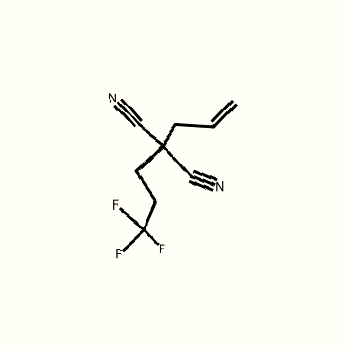 C=CCC(C#N)(C#N)CCC(F)(F)F